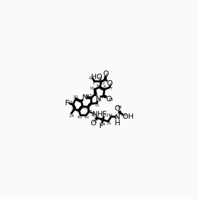 CC[C@@]1(O)C(=O)OCc2c1cc1n(c2=O)Cc2c-1nc1cc(F)c(C)c3c1c2[C@@H](NC(=O)C(F)(F)CCNC(=O)O)CC3